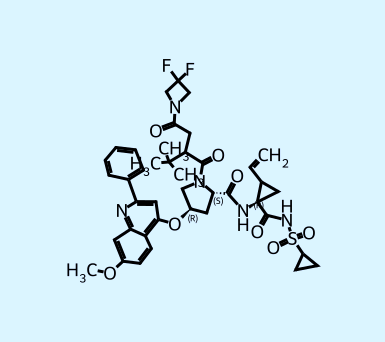 C=CC1C[C@]1(NC(=O)[C@@H]1C[C@@H](Oc2cc(-c3ccccc3)nc3cc(OC)ccc23)CN1C(=O)C(CC(=O)N1CC(F)(F)C1)C(C)(C)C)C(=O)NS(=O)(=O)C1CC1